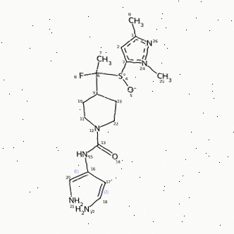 Cc1cc([S+]([O-])C(C)(F)C2CCN(C(=O)NC(/C=C\N)=C/N)CC2)n(C)n1